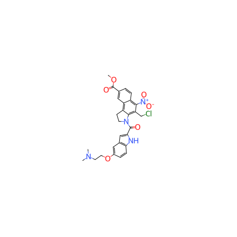 COC(=O)c1ccc2c([N+](=O)[O-])c(CCl)c3c(c2c1)CCN3C(=O)c1cc2cc(OCCN(C)C)ccc2[nH]1